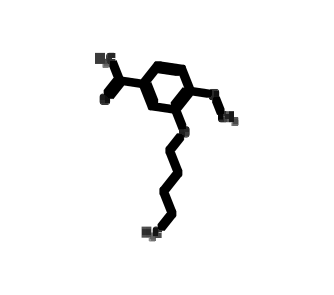 CCCCCOc1cc(C(C)=O)ccc1OC